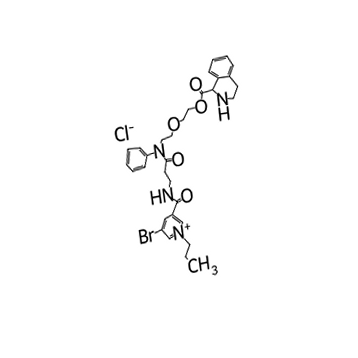 CCC[n+]1cc(Br)cc(C(=O)NCCC(=O)N(CCOCCOC(=O)C2NCCc3ccccc32)c2ccccc2)c1.[Cl-]